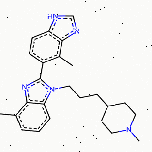 Cc1c(-c2nc3c(C)cccc3n2CCCC2CCN(C)CC2)ccc2[nH]cnc12